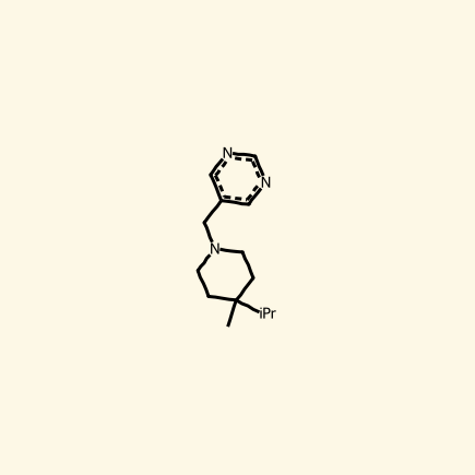 CC(C)C1(C)CCN(Cc2cncnc2)CC1